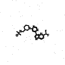 CS(C)(=O)=NCC1CCCN(c2cc(-c3cnc4ccc(C(F)F)nn34)ncn2)C1